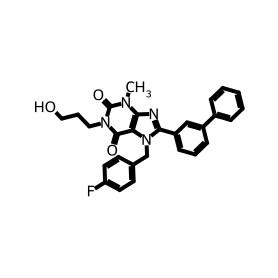 Cn1c(=O)n(CCCO)c(=O)c2c1nc(-c1cccc(-c3ccccc3)c1)n2Cc1ccc(F)cc1